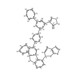 C1=CC2=C(C1)CC(c1cccc3c1-c1cc(-c4ccc(-c5cc(C6=CCCN6)nc(-c6ccccn6)c5)cc4)c4ccccc4c1C3)C=C2